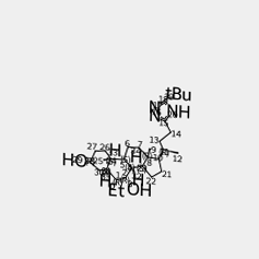 CC[C@H]1[C@@H](O)[C@@H]2[C@H](CC[C@]3(C)C([C@H](C)CCc4nnc(C(C)(C)C)[nH]4)CC[C@@H]23)[C@@]2(C)CC[C@@H](O)C[C@@H]12